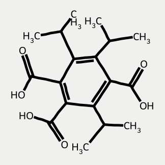 CC(C)c1c(C(=O)O)c(C(=O)O)c(C(C)C)c(C(C)C)c1C(=O)O